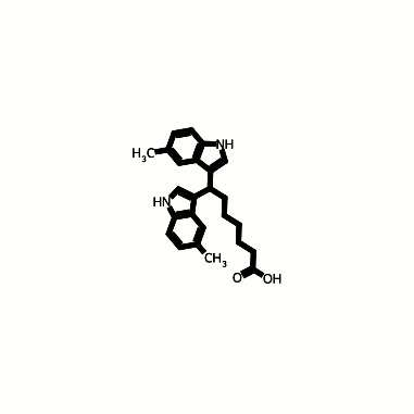 Cc1ccc2[nH]cc(C(CCCCCC(=O)O)c3c[nH]c4ccc(C)cc34)c2c1